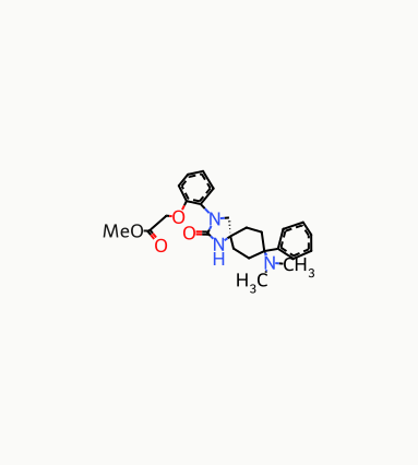 COC(=O)COc1ccccc1N1C[C@]2(CC[C@](c3ccccc3)(N(C)C)CC2)NC1=O